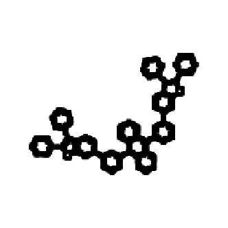 c1ccc(-c2oc3cc(-c4cccc(-c5c6ccccc6c(-c6cccc(-c7ccc8c(c7)OC(c7ccccc7)C8c7ccccc7)c6)c6ccccc56)c4)ccc3c2-c2ccccc2)cc1